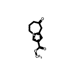 COC(=O)c1cc2n(c1)CCCC(=O)C2